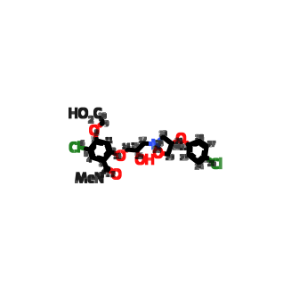 CNC(=O)c1cc(Cl)c(OCC(=O)O)cc1OC[C@H](O)CN1C[C@@H](Oc2ccc(Cl)cc2)CO1